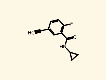 C#Cc1ccc(F)c(C(=O)NC2CC2)c1